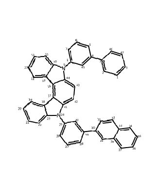 c1ccc(-c2cccc(-n3c4ccccc4c4c5c6ccccc6n(-c6cccc(-c7ccc8ccccc8c7)c6)c5ccc43)c2)cc1